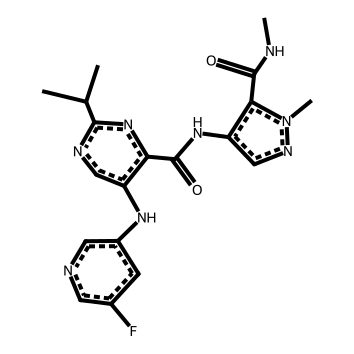 CNC(=O)c1c(NC(=O)c2nc(C(C)C)ncc2Nc2cncc(F)c2)cnn1C